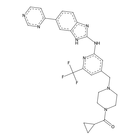 O=C(C1CC1)N1CCN(Cc2cc(Nc3nc4ccc(-c5ccncn5)cc4[nH]3)nc(C(F)(F)F)c2)CC1